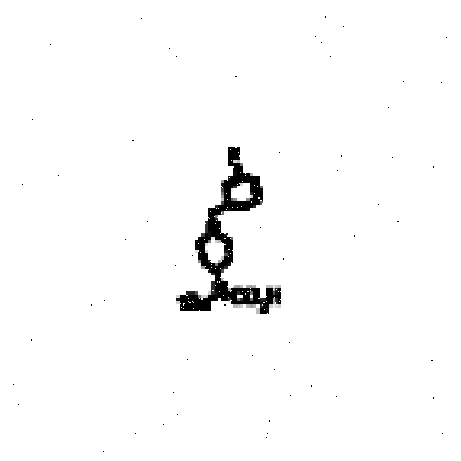 CC(C)(C)N(C(=O)O)C1CCN(Cc2cccc(F)c2)CC1